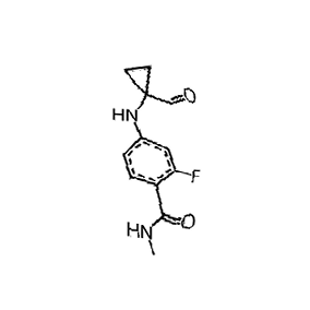 CNC(=O)c1ccc(NC2(C=O)CC2)cc1F